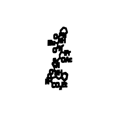 CCOC(=O)c1ncoc1C(Cc1ccccc1)NC(=O)c1csc(C(CC(C(C)C)N(C)C(=O)C(NC(=O)[C@H]2CCCCN2C)C(C)CC)OC(C)=O)n1